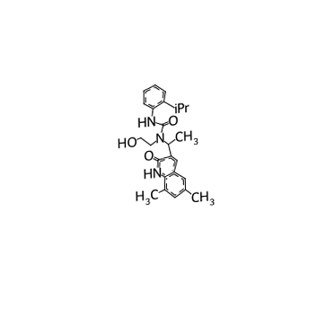 Cc1cc(C)c2[nH]c(=O)c(C(C)N(CCO)C(=O)Nc3ccccc3C(C)C)cc2c1